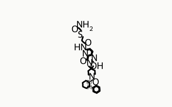 NC(=O)CSCCC(=O)Nc1ccc2ncn(CC3(O)CCN(C(=O)[C@@H]4CCCC[C@H]4c4ccccc4)CC3)c(=O)c2n1